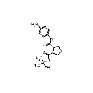 Bc1cnc(NC(=O)[C@@H]2CCCN2C(=O)OC(C)(C)C)nc1